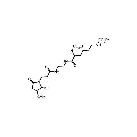 CCOC(=O)NCCCCC(NC(=O)OCC)C(=O)NCCNC(=O)CCN1C(=O)CC(SC)C1=O